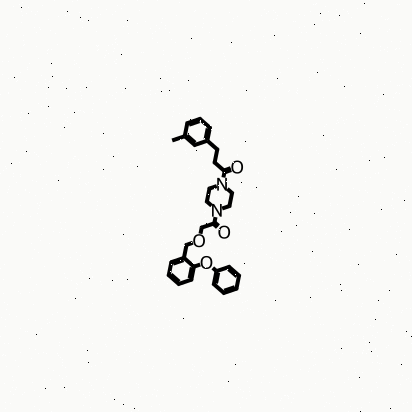 Cc1cccc(CCC(=O)N2CCN(C(=O)COCc3ccccc3Oc3ccccc3)CC2)c1